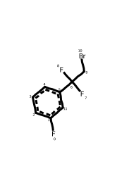 Fc1cccc(C(F)(F)CBr)c1